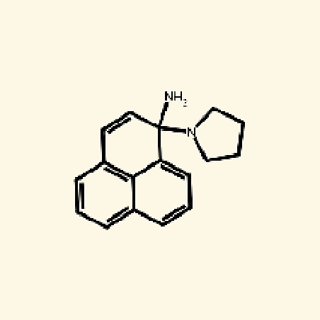 NC1(N2CCCC2)C=Cc2cccc3cccc1c23